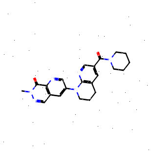 Cn1ncc2cc(N3CCCc4cc(C(=O)N5CCCCC5)cnc43)cnc2c1=O